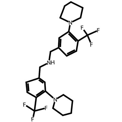 FC(F)(F)c1ccc(CNCc2ccc(C(F)(F)F)c(N3CCCCC3)c2)cc1N1CCCCC1